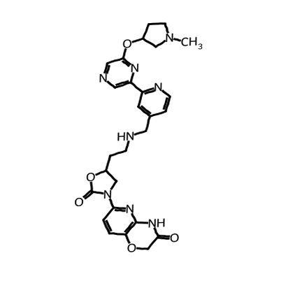 CN1CCC(Oc2cncc(-c3cc(CNCCC4CN(c5ccc6c(n5)NC(=O)CO6)C(=O)O4)ccn3)n2)C1